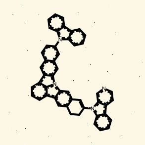 C1=C(n2c3ccccc3c3ccncc32)CCc2cc3c4cccc5c6cc7ccc(-n8c9ccccc9c9ccccc98)cc7cc6n(c3cc21)c45